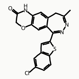 CC1=NN=C(c2cc3cc(Cl)ccc3s2)c2cc3c(cc2C1)NC(=O)CO3